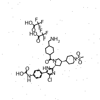 CS(=O)(=O)N1CCC([C@H]2C[C@@H](c3nc(Cl)c(-c4ccc(NC(=O)O)cc4)[nH]3)N(C(=O)C3CCC(CN)CC3)C2)CC1.O=C(O)C(F)(F)F.O=C(O)C(F)(F)F